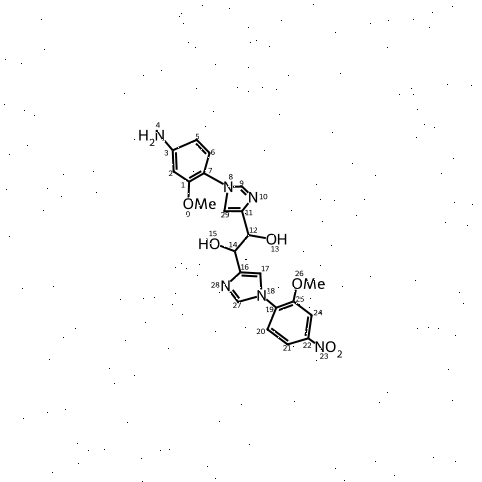 COc1cc(N)ccc1-n1cnc(C(O)C(O)c2cn(-c3ccc([N+](=O)[O-])cc3OC)cn2)c1